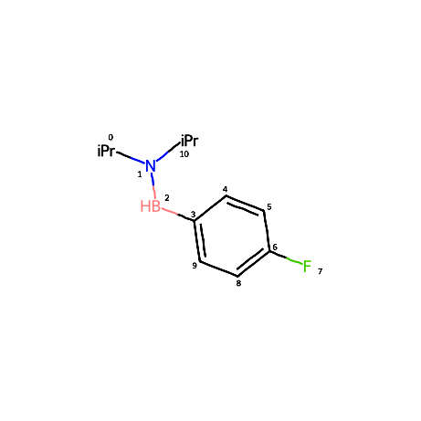 CC(C)N(Bc1ccc(F)cc1)C(C)C